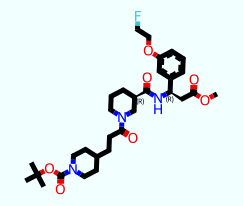 COC(=O)C[C@@H](NC(=O)[C@@H]1CCCN(C(=O)CCC2CCN(C(=O)OC(C)(C)C)CC2)C1)c1cccc(OCCF)c1